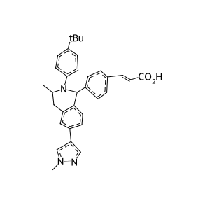 CC1Cc2cc(-c3cnn(C)c3)ccc2C(c2ccc(/C=C/C(=O)O)cc2)N1c1ccc(C(C)(C)C)cc1